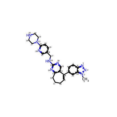 Cn1nnc2ccc(C3=CCCCc4nc(NCc5ccc(N6CCNCC6)nc5)ncc43)cc21